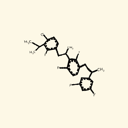 CC(C)c1c(Cl)ccc(CC(C)c2c(F)ccc(CC(C)c3cc(F)cc(F)c3)c2F)c1F